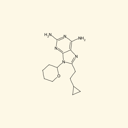 Nc1nc(N)c2nc(CCC3CC3)n(C3CCCCO3)c2n1